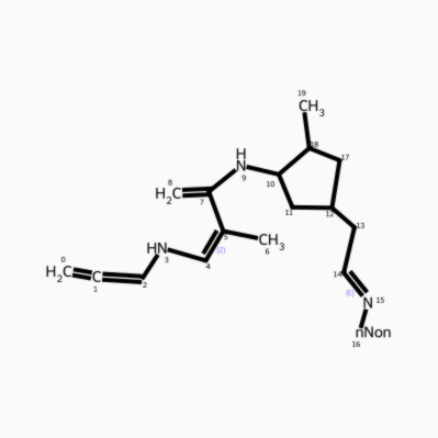 C=C=CN/C=C(/C)C(=C)NC1CC(C/C=N/CCCCCCCCC)CC1C